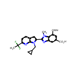 COc1cc(C(=O)O)cc2nc(-c3cc4ccc(C(C)(F)F)nc4n3CC3CC3)n(C)c12